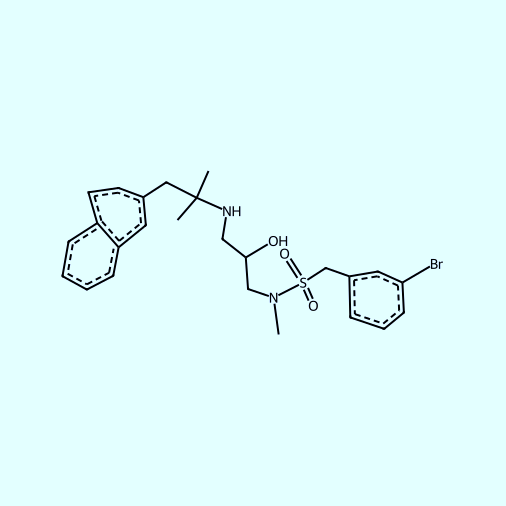 CN(CC(O)CNC(C)(C)Cc1ccc2ccccc2c1)S(=O)(=O)Cc1cccc(Br)c1